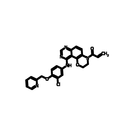 C=CC(=O)N1CCOc2c1ccc1ncnc(Nc3ccc(OCc4ccccn4)c(Cl)c3)c21